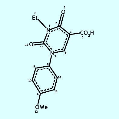 CCn1c(=O)c(C(=O)O)cn(-c2ccc(OC)cc2)c1=O